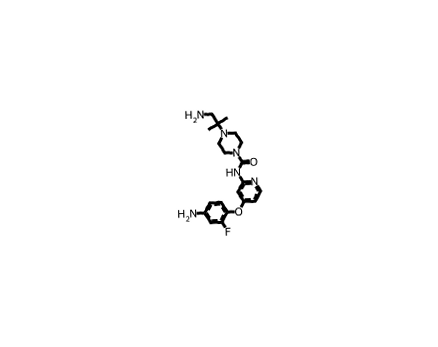 CC(C)(CN)N1CCN(C(=O)Nc2cc(Oc3ccc(N)cc3F)ccn2)CC1